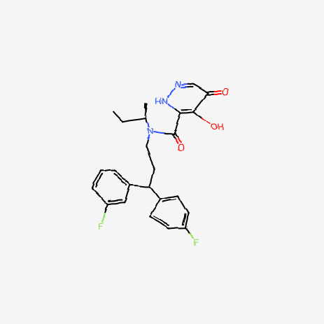 CC[C@@H](C)N(CCC(c1ccc(F)cc1)c1cccc(F)c1)C(=O)c1[nH]ncc(=O)c1O